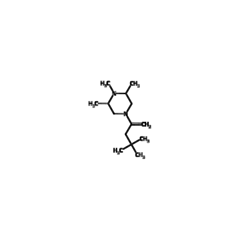 C=C(CC(C)(C)C)N1CC(C)N(C)C(C)C1